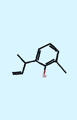 C=C[C](C)c1cccc(C)c1Br